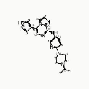 CC(C)N1CCN(c2ccc(Nc3ncc(-c4cn[nH]c4)n4ccnc34)cn2)CC1